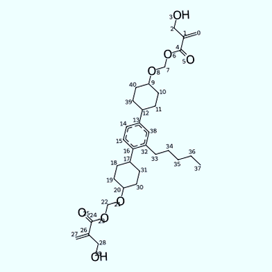 C=C(CO)C(=O)OCOC1CCC(c2ccc(C3CCC(OCOC(=O)C(=C)CO)CC3)c(CCCCC)c2)CC1